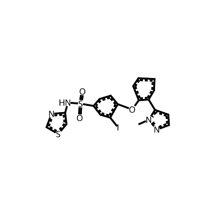 Cn1nccc1-c1ccccc1Oc1ccc(S(=O)(=O)Nc2cscn2)cc1I